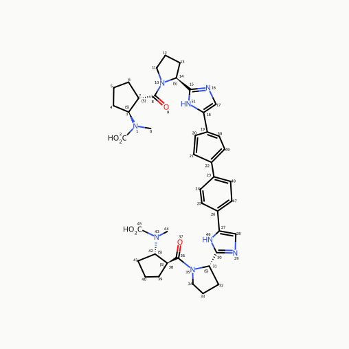 CN(C(=O)O)[C@H]1CCC[C@@H]1C(=O)N1CCC[C@H]1c1ncc(-c2ccc(-c3ccc(-c4cnc([C@@H]5CCCN5C(=O)[C@H]5CCC[C@@H]5N(C)C(=O)O)[nH]4)cc3)cc2)[nH]1